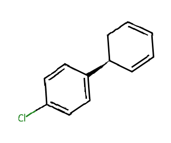 Clc1ccc([C@@H]2C=CC=CC2)cc1